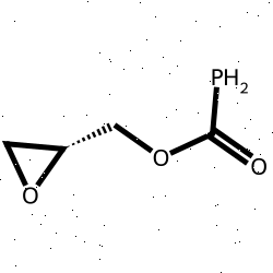 O=C(P)OC[C@H]1CO1